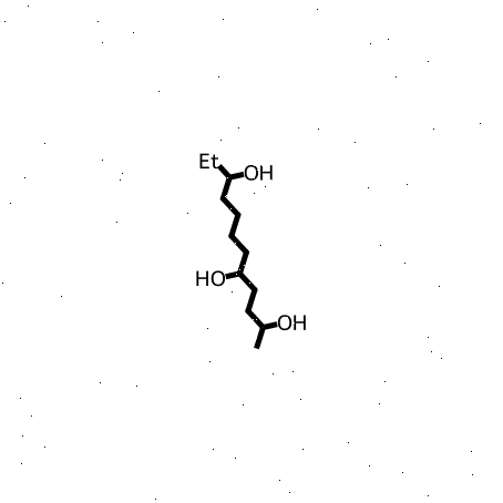 CCC(O)CCCCC(O)CCC(C)O